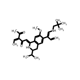 C=C/C(=C\NCC(C)(C)C)c1cc2c(cc1OC)/C(=C/C(=O)/C(=C\C)C(C)=O)NC(C(C)C)C2